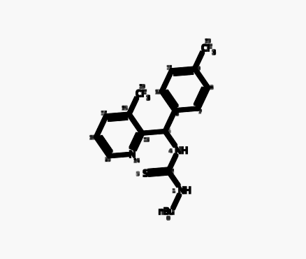 CCCCNC(=S)NC(c1ccc(C(F)(F)F)cc1)c1ncccc1C(F)(F)F